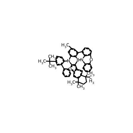 Cc1cc2c3c(c1)N(c1ccc(C(C)(C)C)cc1-c1ccccc1)c1oc4cc5c(cc4c1B3N1c3ccccc3Oc3cccc-2c31)C(C)(C)CCC5(C)C